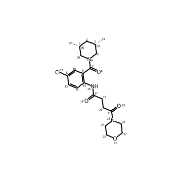 C[C@@H]1C[C@H](C)CN(C(=O)c2cc(Cl)ccc2NC(=O)CCC(=O)N2CCOCC2)C1